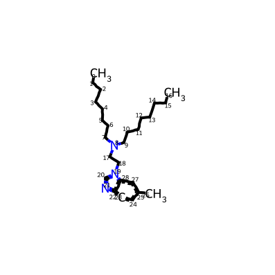 CCCCCCCCN(CCCCCCCC)CCn1cnc2ccc(C)cc21